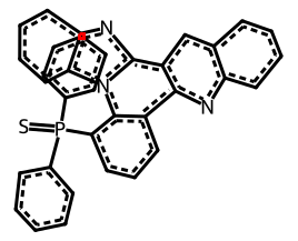 S=P(c1ccccc1)(c1ccccc1)c1cccc2c3nc4ccccc4cc3c3nc4ccccc4n3c12